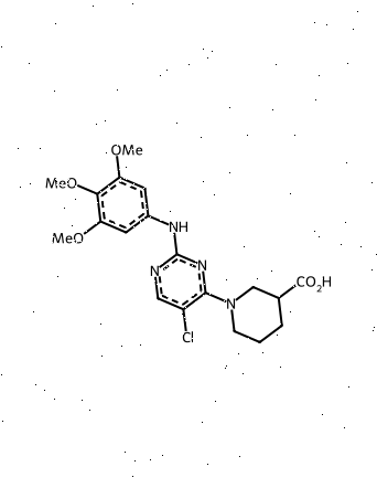 COc1cc(Nc2ncc(Cl)c(N3CCCC(C(=O)O)C3)n2)cc(OC)c1OC